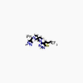 CC(C)[C@@H](c1cnn(C)c1)N1CC[C@]2(CCN(c3ncnc4sc(CC(F)(F)F)cc34)C2)C1